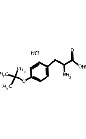 CC(C)(C)Oc1ccc(CC(N)C(=O)O)cc1.Cl